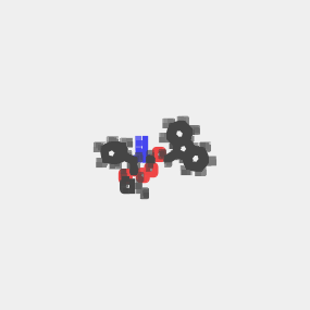 COC(=O)C(NC(=O)OCC1c2ccccc2-c2ccccc21)C1CC2CCC1C2